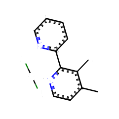 Cc1ccnc(-c2ccccn2)c1C.[Cl][Os][Cl]